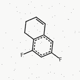 Fc1cc(F)c2c(c1)C=CCC2